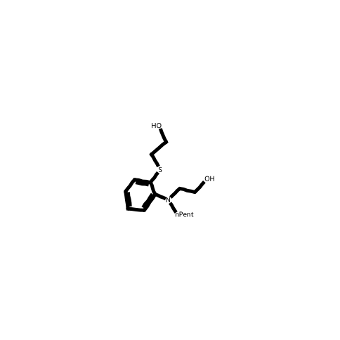 CCCCCN(CCO)c1ccccc1SCCO